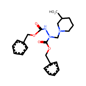 O=C(NN(CN1CCCC(C(=O)O)C1)C(=O)OCc1ccccc1)OCc1ccccc1